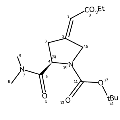 CCOC(=O)C=C1C[C@H](C(=O)N(C)C)N(C(=O)OC(C)(C)C)C1